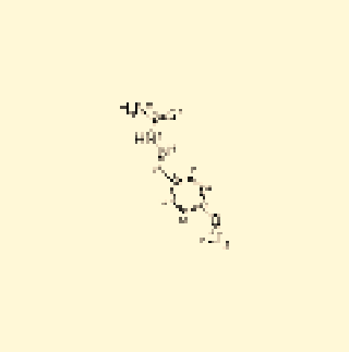 NC(=S)NN=Cc1ccc(OC(F)(F)F)cc1